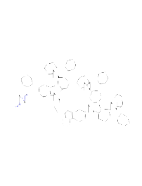 C/C=C\N=C(/C)c1ccccc1-c1ccc2c(c1)c1cc(-c3ccccc3-c3ccccn3)ccc1n2C1C=Cc2oc3ccc(-n4c5ccc(-c6ccccc6-c6ccccn6)cc5c5cc(-c6ccccc6-c6ccccn6)ccc54)cc3c2C1